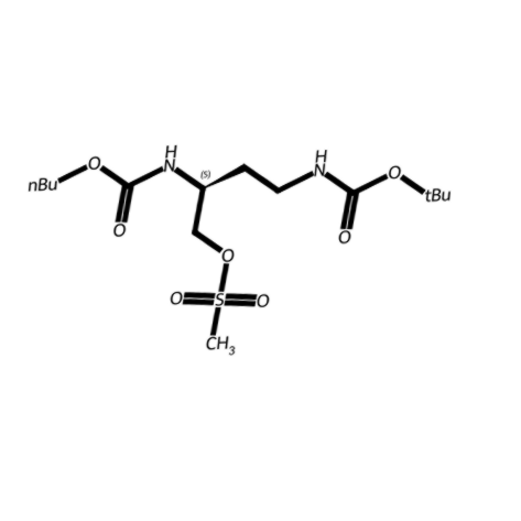 CCCCOC(=O)N[C@@H](CCNC(=O)OC(C)(C)C)COS(C)(=O)=O